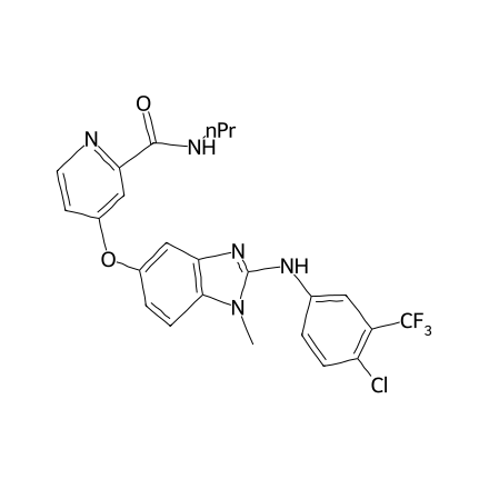 CCCNC(=O)c1cc(Oc2ccc3c(c2)nc(Nc2ccc(Cl)c(C(F)(F)F)c2)n3C)ccn1